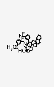 COc1cccc(CN2CC(C(=O)O)n3c2c(-c2cccc(C(F)(F)F)c2)c(Cc2cccc4ccccc24)c(Cl)c3=O)c1